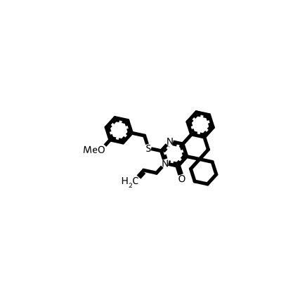 C=CCn1c(SCc2cccc(OC)c2)nc2c(c1=O)C1(CCCCC1)Cc1ccccc1-2